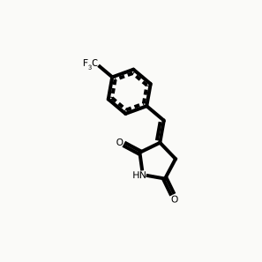 O=C1CC(=Cc2ccc(C(F)(F)F)cc2)C(=O)N1